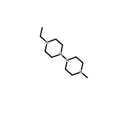 CCN1CCN(N2CCN(C)CC2)CC1